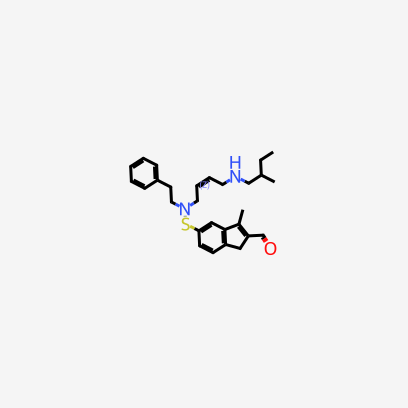 CCC(C)CNC/C=C\CN(CCc1ccccc1)Sc1ccc2c(c1)C(C)=C(C=O)C2